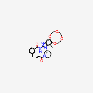 C=CC(=O)N1CCCC[C@@H](n2c(NC(=O)c3cccc(C)c3)nc3cc4c(c(C)c32)OCCOCCOCCO4)C1